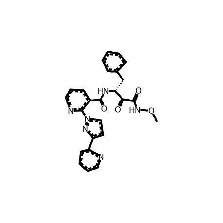 CONC(=O)C(=O)[C@@H](Cc1ccccc1)NC(=O)c1cccnc1-n1ccc(-c2ccccn2)n1